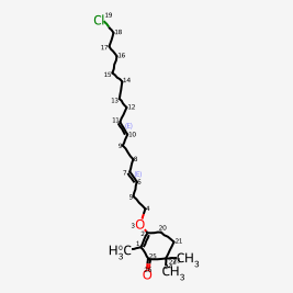 CC1=C(OCC/C=C/CC/C=C/CCCCCCCCl)CCC(C)(C)C1=O